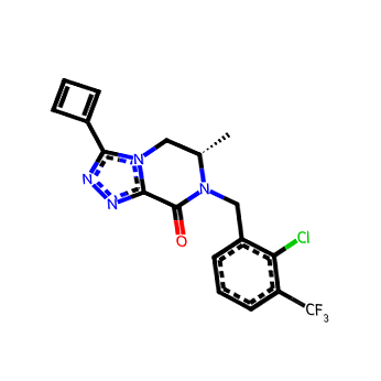 C[C@H]1Cn2c(nnc2C2=CC=C2)C(=O)N1Cc1cccc(C(F)(F)F)c1Cl